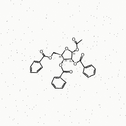 CC(=O)O[C@@H]1O[C@H](COC(=O)c2ccccc2)[C@H](OC(=O)c2ccccc2)[C@@H]1OC(=O)c1ccccc1